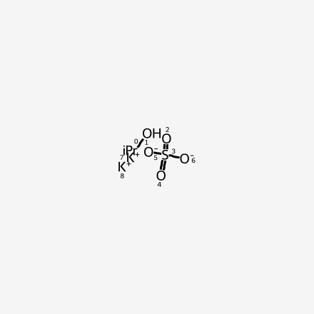 CC(C)O.O=S(=O)([O-])[O-].[K+].[K+]